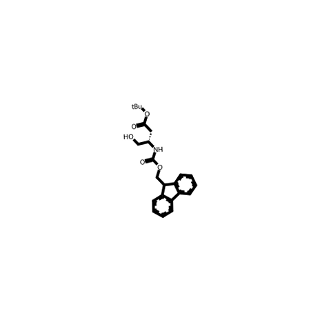 CC(C)(C)OC(=O)C[C@@H](CO)NC(=O)OCC1c2ccccc2-c2ccccc21